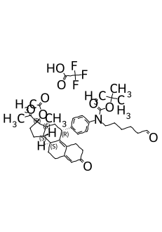 CC(=O)O[C@]1(C(C)=O)CC[C@H]2[C@@H]3CCC4=CC(=O)CCC4=C3[C@@H](c3ccc(N(CCCCCC=O)C(=O)OC(C)(C)C)cc3)C[C@@]21C.O=C(O)C(F)(F)F